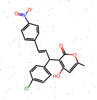 Cc1cc(O)c(C(/C=C/c2ccc([N+](=O)[O-])cc2)c2ccc(Cl)cc2)c(=O)o1